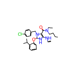 C=CNC1=C(C(=O)N(CC)CCCC)N(Cc2ccc(Cl)cc2)C(Oc2ccccc2C(C)C)N1